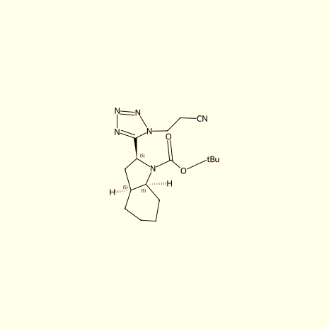 CC(C)(C)OC(=O)N1[C@H](c2nnnn2CCC#N)C[C@@H]2CCCC[C@@H]21